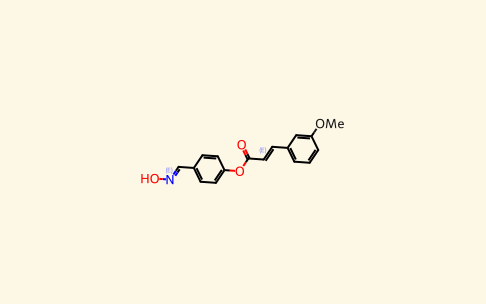 COc1cccc(/C=C/C(=O)Oc2ccc(/C=N/O)cc2)c1